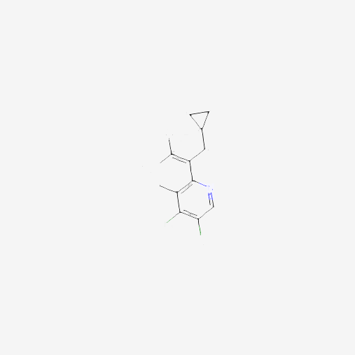 Cc1c(C(CC2CC2)=C(C(=O)O)C(=O)O)ncc(F)c1Cl